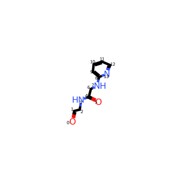 O=[C]CNC(=O)CNc1ccccn1